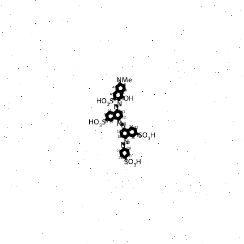 CNc1ccc2c(O)c(N=Nc3ccc(N=Nc4ccc(N=Nc5ccc(S(=O)(=O)O)cc5)c5cc(S(=O)(=O)O)ccc45)c4cc(S(=O)(=O)O)ccc34)c(S(=O)(=O)O)cc2c1